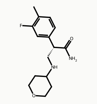 Cc1ccc([C@@H](CNC2CCOCC2)C(N)=O)cc1F